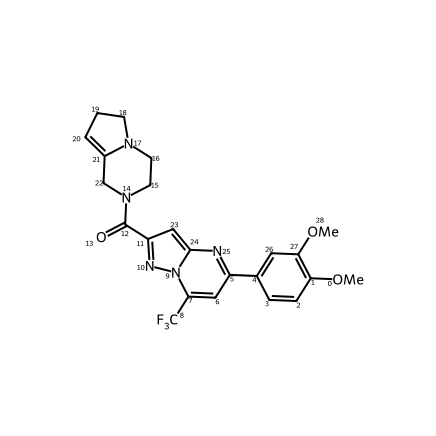 COc1ccc(-c2cc(C(F)(F)F)n3nc(C(=O)N4CCN5CCC=C5C4)cc3n2)cc1OC